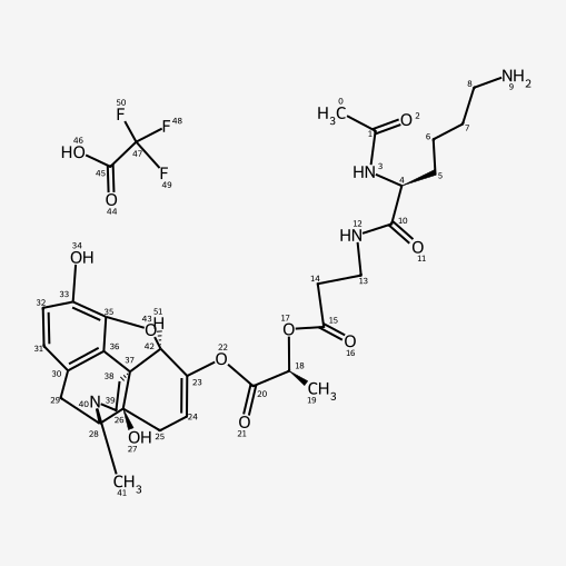 CC(=O)N[C@@H](CCCCN)C(=O)NCCC(=O)O[C@@H](C)C(=O)OC1=CC[C@]2(O)C3Cc4ccc(O)c5c4[C@@]2(CCN3C)[C@H]1O5.O=C(O)C(F)(F)F